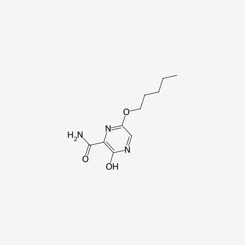 CCCCCOc1cnc(O)c(C(N)=O)n1